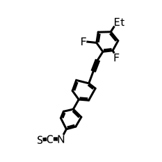 CCc1cc(F)c(C#Cc2ccc(-c3ccc(N=C=S)cc3)cc2)c(F)c1